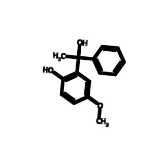 COc1ccc(O)c(C(C)(O)c2ccccc2)c1